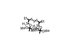 CCC([SiH2]OC(C)(OC)OC)SSSC(CC)[SiH2]OC(C)(OC)OC